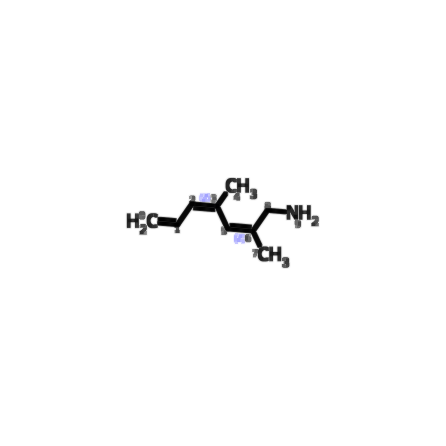 C=C/C=C(C)\C=C(\C)CN